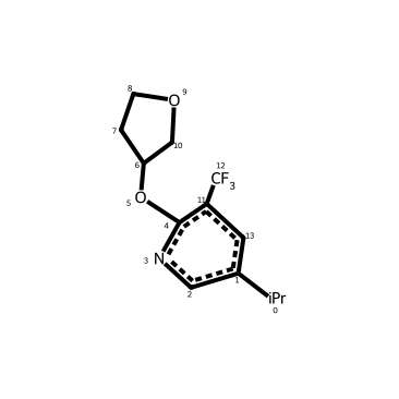 CC(C)c1cnc(OC2CCOC2)c(C(F)(F)F)c1